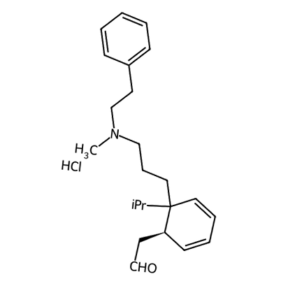 CC(C)C1(CCCN(C)CCc2ccccc2)C=CC=C[C@H]1CC=O.Cl